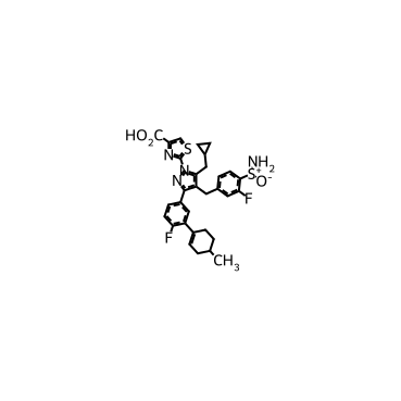 CC1CC=C(c2cc(-c3nn(-c4nc(C(=O)O)cs4)c(CC4CC4)c3Cc3ccc([S+](N)[O-])c(F)c3)ccc2F)CC1